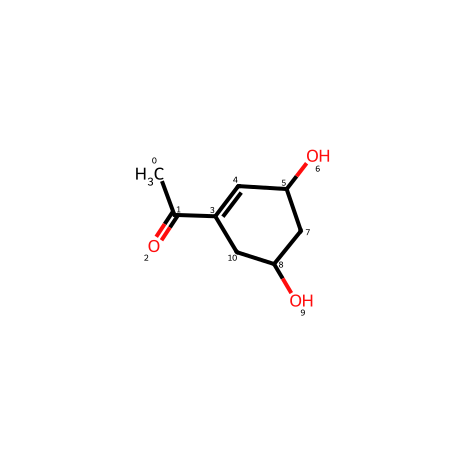 CC(=O)C1=CC(O)CC(O)C1